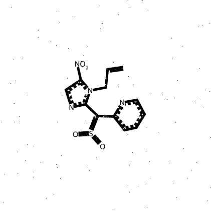 C=CCn1c([N+](=O)[O-])cnc1C(c1ccccn1)=S(=O)=O